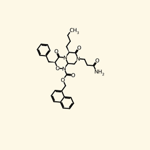 CCCC[C@H]1C(=O)N(CCC(N)=O)CC2N(C(=O)OCc3cccc4ccccc34)O[C@@H](Cc3ccccc3)C(=O)N21